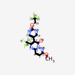 COc1ccc2nc(C(F)(F)F)c(-c3cnc(OCC(F)(F)F)nc3)c(=O)n2n1